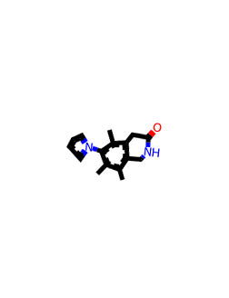 Cc1c(C)c(-n2cccc2)c(C)c2c1CNC(=O)C2